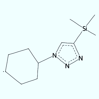 C[Si](C)(C)c1cn(C2CC[CH]CC2)nn1